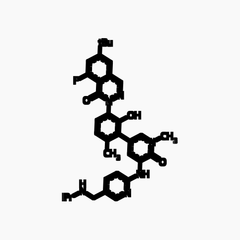 Cc1ccc(-n2ncc3cc(C(C)(C)C)cc(F)c3c2=O)c(O)c1-c1cc(Nc2ccc(CNC(C)C)cn2)c(=O)n(C)c1